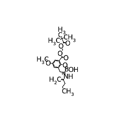 C=C(CCC)N[C@H]1Cc2cc(OC)cc(C(=O)OCOC(=O)C(C)(C)C)c2OB1O